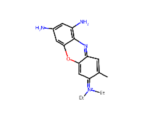 CC[N+](CC)=c1cc2oc3cc(N)cc(N)c3nc-2cc1C